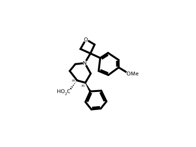 COc1ccc(C2(N3CC[C@@H](C(=O)O)[C@H](c4ccccc4)C3)COC2)cc1